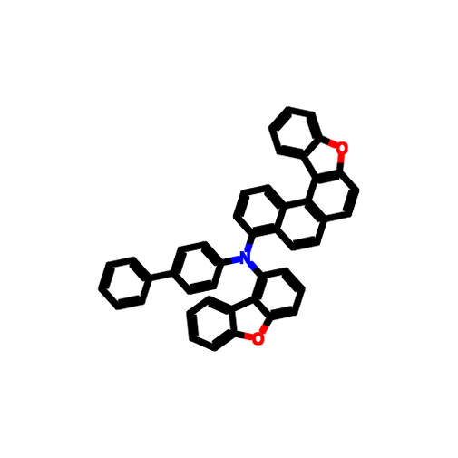 c1ccc(-c2ccc(N(c3cccc4c3ccc3ccc5oc6ccccc6c5c34)c3cccc4oc5ccccc5c34)cc2)cc1